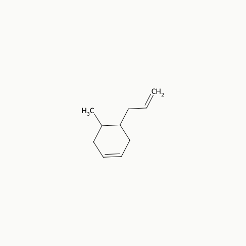 C=CCC1CC=CCC1C